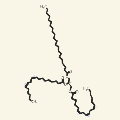 CCCCC/C=C\C/C=C\C/C=C\CCCCC(=O)OC[C@H](COC(=O)CCCCCCCCCCCCCCCCCCCCC)OC(=O)CCCCCCC/C=C\C/C=C\CCCCC